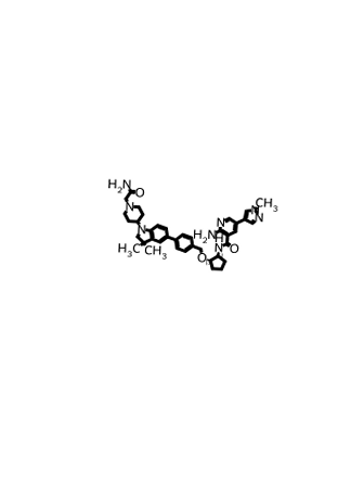 Cn1cc(-c2cnc(N)c(C(=O)N[C@H]3CCC[C@@H]3OCc3ccc(-c4ccc5c(c4)C(C)(C)CN5C4CCN(CC(N)=O)CC4)cc3)c2)cn1